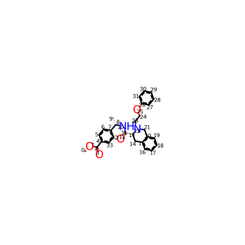 COC(=O)c1ccc([C@H](C)NC(=O)[C@H]2Cc3ccccc3CN2CCOc2ccccc2)cc1